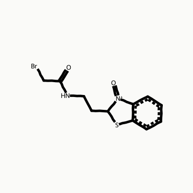 O=C(CBr)NCCC1Sc2ccccc2[N+]1=O